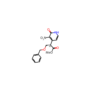 COC(=O)[C@@H](COCc1ccccc1)c1cc[nH]c(=O)c1[N+](=O)[O-]